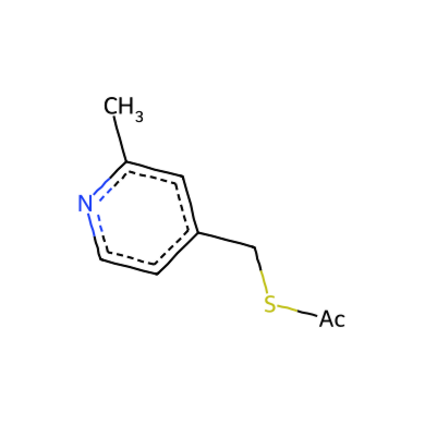 CC(=O)SCc1ccnc(C)c1